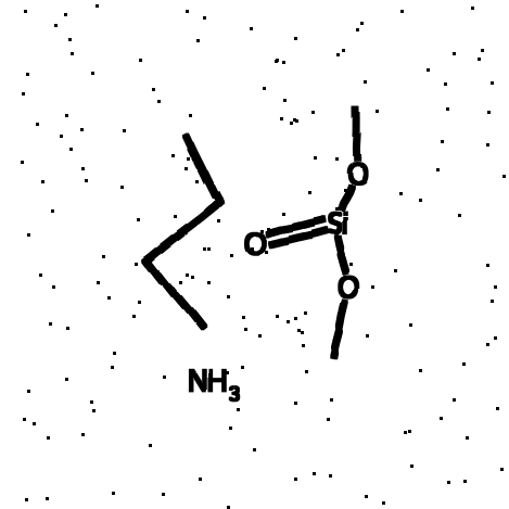 CCCC.CO[Si](=O)OC.N